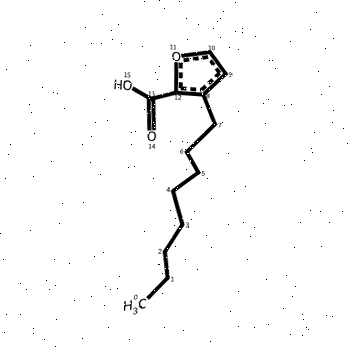 CCCCCCCCc1ccoc1C(=O)O